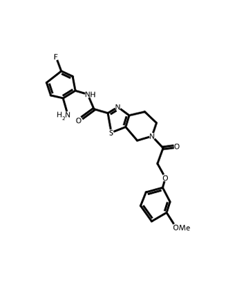 COc1cccc(OCC(=O)N2CCc3nc(C(=O)Nc4cc(F)ccc4N)sc3C2)c1